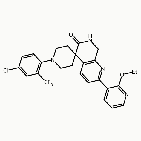 CCOc1ncccc1-c1ccc2c(n1)CNC(=O)C21CCN(c2ccc(Cl)cc2C(F)(F)F)CC1